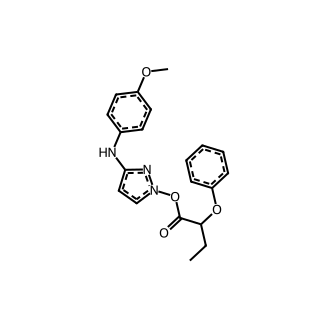 CCC(Oc1ccccc1)C(=O)On1ccc(Nc2ccc(OC)cc2)n1